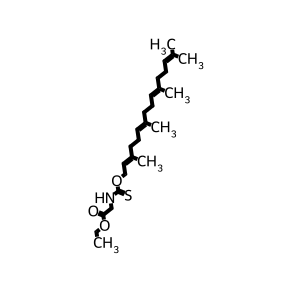 CCOC(=O)CNC(=S)OC/C=C(\C)CC/C=C(\C)CC/C=C(\C)CCC=C(C)C